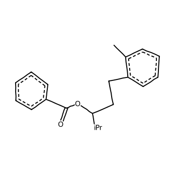 Cc1ccccc1CCC(OC(=O)c1ccccc1)C(C)C